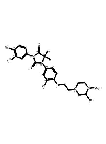 CC(C)(C)C1CN(CCOc2ccc(N3C(=S)N(c4ccc(C#N)c(C(F)(F)F)c4)C(=O)C3(C)C)cc2Cl)CCN1C(=O)O